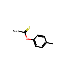 CSC(=S)Oc1ccc(C)cc1